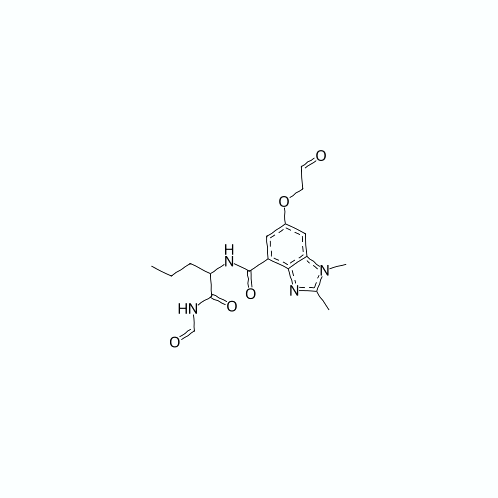 CCCC(NC(=O)c1cc(OCC=O)cc2c1nc(C)n2C)C(=O)NC=O